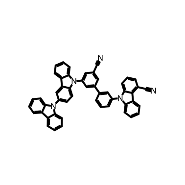 N#Cc1cc(-c2cccc(-n3c4ccccc4c4c(C#N)cccc43)c2)cc(-n2c3ccccc3c3cc(-n4c5ccccc5c5ccccc54)ccc32)c1